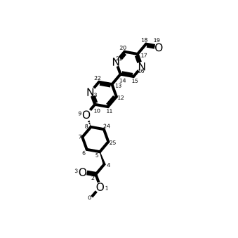 COC(=O)C[C@H]1CC[C@H](Oc2ccc(-c3cnc(C=O)cn3)cn2)CC1